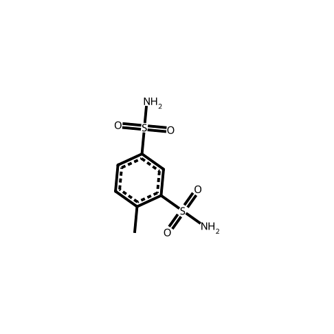 Cc1ccc(S(N)(=O)=O)cc1S(N)(=O)=O